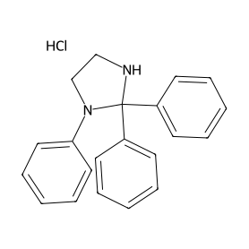 Cl.c1ccc(N2CCNC2(c2ccccc2)c2ccccc2)cc1